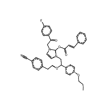 CCCOc1ccc(C(CN2C=CN(CC(=O)c3ccc(F)cc3)C2OC(=O)/C=C/c2ccccc2)OCCc2ccc(C#N)cc2)cc1